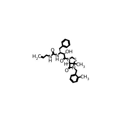 C=CCNC(=O)N[C@@H](Cc1ccccc1)[C@H](O)C(=O)N1CSC2(C)[C@H]1C(=O)N2Cc1ccccc1C